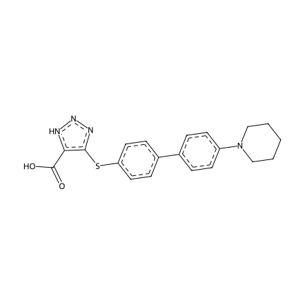 O=C(O)c1[nH]nnc1Sc1ccc(-c2ccc(N3CCCCC3)cc2)cc1